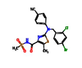 Cc1sc(N(Cc2ccc(Br)cc2Cl)c2ccc(C#N)cc2)nc1C(=O)NS(C)(=O)=O